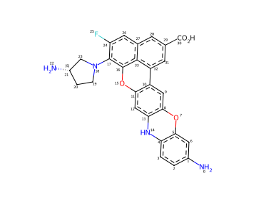 Nc1ccc2c(c1)Oc1cc3c(cc1N2)Oc1c(N2CC[C@H](N)C2)c(F)cc2cc(C(=O)O)cc-3c12